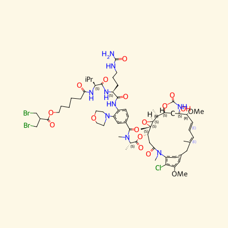 COc1cc2cc(c1Cl)N(C)C(=O)C[C@H](OC(=O)[C@H](C)N(C)C(=O)c1ccc(NC(=O)[C@H](CCCNC(N)=O)NC(=O)[C@@H](NC(=O)CCCCCOC(=O)C(CBr)CBr)C(C)C)c(N3CCOCC3)c1)[C@]1(C)O[C@H]1[C@H](C)[C@@H]1C[C@@](O)(NC(=O)O1)[C@H](OC)/C=C/C=C(\C)C2